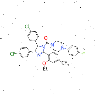 CCOc1cc(C(F)(F)F)ccc1C1=NC(c2ccc(Cl)cc2)C(c2ccc(Cl)cc2)N1C(=O)N1CCN(c2ccc(F)cc2)CC1